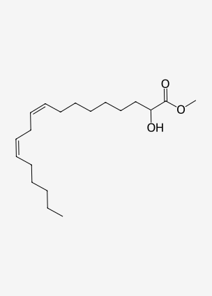 CCCCC/C=C\C/C=C\CCCCCCC(O)C(=O)OC